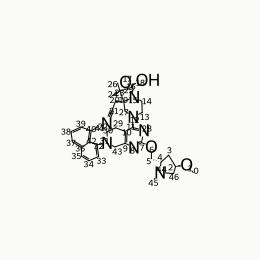 CO[C@@H]1C[C@@H](COc2nc3c(c(N4CCN(C(=O)O)[C@@](CC#N)(C(C)(C)C)C4)n2)CCN(c2cccc4cccc(C)c24)C3)N(C)C1